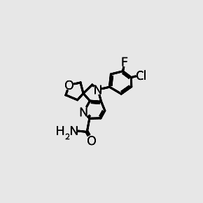 NC(=O)c1ccc2c(n1)C1(CCOC1)CN2c1ccc(Cl)c(F)c1